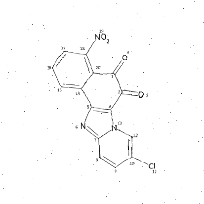 O=C1C(=O)c2c(nc3ccc(Cl)cn23)-c2cccc([N+](=O)[O-])c21